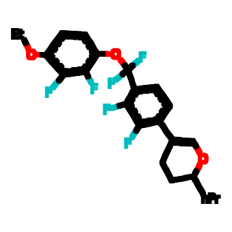 CCCC1CCC(c2ccc(C(F)(F)Oc3ccc(OCC)c(F)c3F)c(F)c2F)=CO1